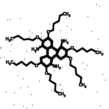 CCCCCOc1cc2c(c(N)c1OCCCCC)c1cc(OCCCCC)c(OCCCCC)c(N)c1c1cc(OCCCCC)c(OCCCCC)c(N)c21